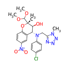 COC(OC)[C@@]1(C)Oc2ccc([N+](=O)[O-])cc2[C@@H](N(Cc2nnnn2C)c2ccc(Cl)cc2)[C@@H]1O